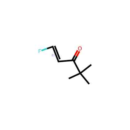 CC(C)(C)C(=O)/C=C/F